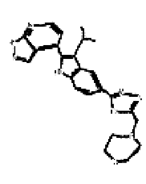 CC(C)c1c(-c2ccnc3[nH]ncc23)[nH]c2ccc(-c3nnc(CN4CCOCC4)o3)cc12